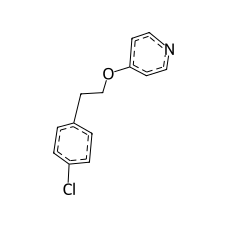 Clc1ccc(CCOc2ccncc2)cc1